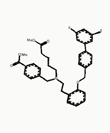 COC(=O)CCCCN(CCc1ccccc1OCc1ccc(-c2cc(F)cc(F)c2)cc1)Cc1ccc(C(=O)OC)cc1